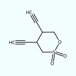 C#CC1COS(=O)(=O)CC1C#C